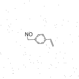 C=Cc1ccc(CN=O)cc1